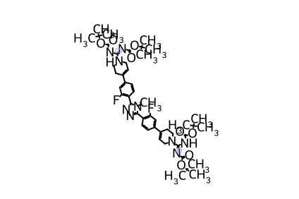 Cn1c(-c2ccc(C3=CCN(/C(=N\C(=O)OC(C)(C)C)NC(=O)OC(C)(C)C)CC3)cc2F)nnc1-c1ccc(C2=CCN(/C(=N/C(=O)OC(C)(C)C)NC(=O)OC(C)(C)C)CC2)cc1F